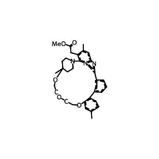 COC(=O)Cc1c(C)cc2nc3cn2c1N1CCC(C)(CC1)OCCOCCOc1cc(C)ccc1-c1cccc-3c1